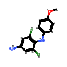 COc1ccc(Nc2c(Cl)cc(N)cc2Cl)cc1